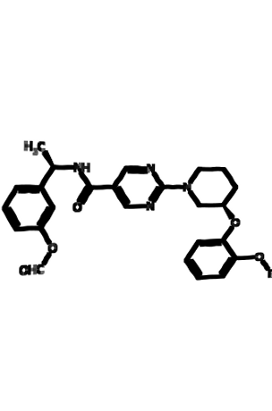 CCOc1ccccc1O[C@@H]1CCCN(c2ncc(C(=O)N[C@H](C)c3cccc(OC=O)c3)cn2)C1